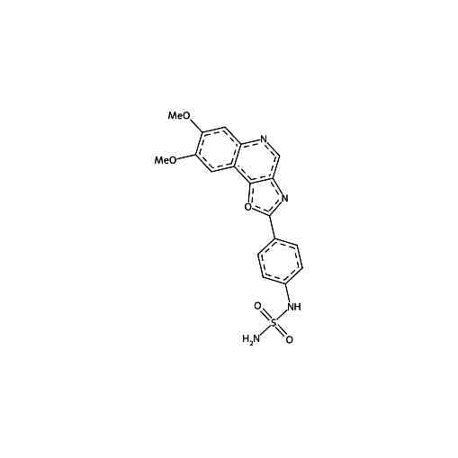 COc1cc2ncc3nc(-c4ccc(NS(N)(=O)=O)cc4)oc3c2cc1OC